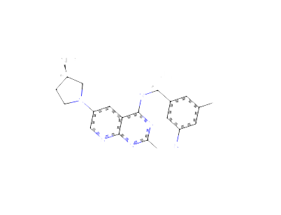 CC(=O)N[C@@H]1CCN(c2cnc3nc(C)nc(N[C@H](C)c4cc(N)cc(C(F)(F)F)c4)c3c2)C1